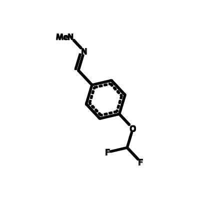 CN/N=C/c1ccc(OC(F)F)cc1